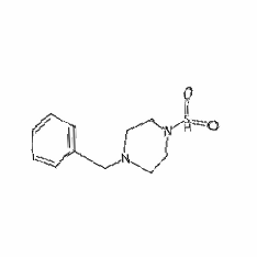 O=[SH](=O)N1CCN(Cc2ccccc2)CC1